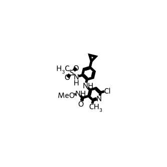 CONC(=O)c1c(Nc2ccc(C3CC3)cc2NS(C)(=O)=O)cc(Cl)nc1C